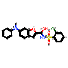 CN(c1ccccc1)c1ccc2cc(C(O)NS(=O)(=O)c3ccccc3Cl)oc2c1